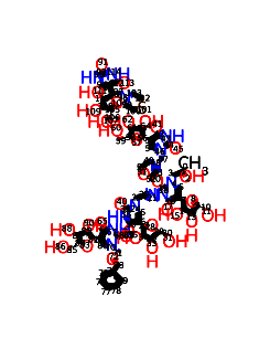 C[C@H](O)Cn1cc([C@@H]2O[C@H](CO)[C@@H](O)[C@H]2O)c(=O)[nH]c1=O.N#CCn1cc([C@@H]2O[C@H](CO)[C@@H](O)[C@H]2O)c(=O)[nH]c1=O.O=c1[nH]c(=O)n(CN2CCOCC2)cc1[C@@H]1O[C@H](CO)[C@@H](O)[C@H]1O.O=c1[nH]c(=O)n(COCc2ccccc2)cc1[C@@H]1O[C@H](CO)[C@@H](O)[C@H]1O.O=c1[nH]cc([C@]2(CN3CCSCC3)O[C@H](CO)[C@@H](O)[C@H]2O)c(=O)[nH]1